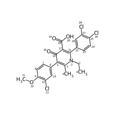 CCn1c(C)c(-c2ccc(OC)c(Cl)c2)c(=O)c(C(=O)O)c1-c1ccc(Cl)c(Cl)c1